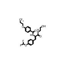 O=C(NCCO)/C(=C/c1ccc(OC(F)F)cc1)NC(=O)c1ccc(OCCC(F)(F)F)cc1